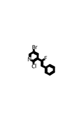 FC(=Cc1ccccc1)c1cc(Br)cnc1Cl